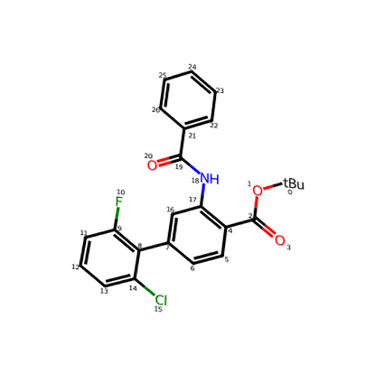 CC(C)(C)OC(=O)c1ccc(-c2c(F)cccc2Cl)cc1NC(=O)c1ccccc1